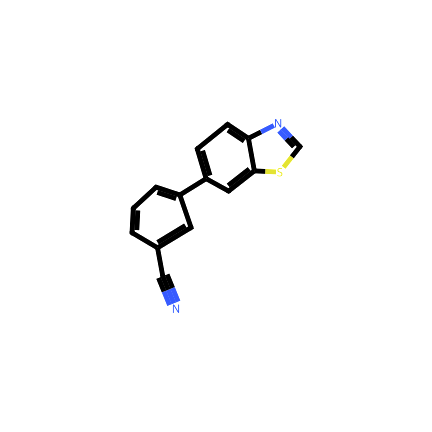 N#Cc1cccc(-c2ccc3ncsc3c2)c1